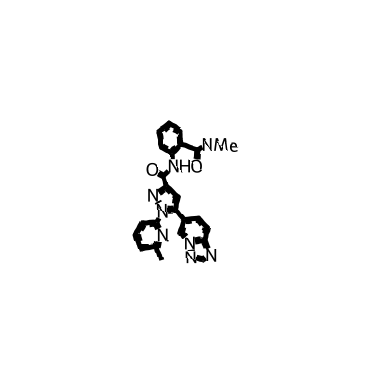 CNC(=O)c1ccccc1NC(=O)c1cc(-c2ccc3ncnn3c2)n(-c2cccc(C)n2)n1